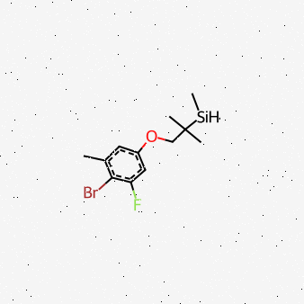 Cc1cc(OCC(C)(C)[SiH](C)C)cc(F)c1Br